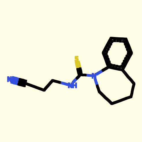 N#CCCNC(=S)N1CCCCc2ccccc21